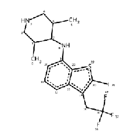 CC1CNCC(C)C1Nc1cccc2c(CC(F)(F)F)c(I)sc12